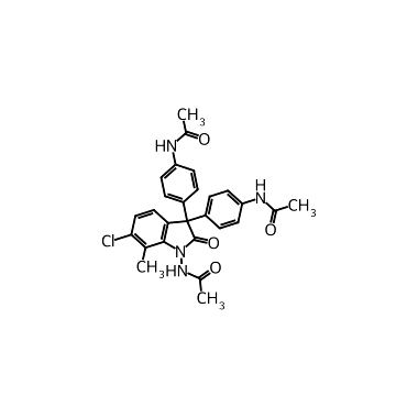 CC(=O)Nc1ccc(C2(c3ccc(NC(C)=O)cc3)C(=O)N(NC(C)=O)c3c2ccc(Cl)c3C)cc1